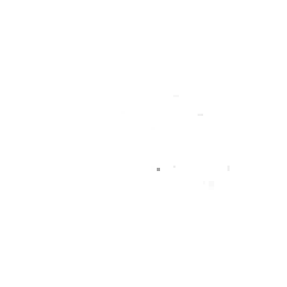 N=C(NN)N(N)c1c(O)cc(O)c2c(=O)cc(-c3ccc(O)c(O)c3)oc12